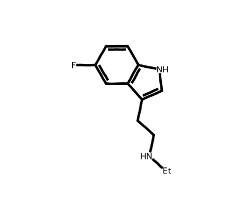 CCNCCc1c[nH]c2ccc(F)cc12